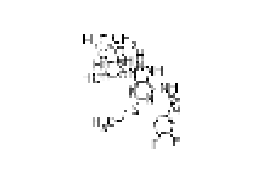 CCCSc1nc(N[C@@H]2C[C@H]2c2ccc(F)c(F)c2)c2c(n1)N([C@@H]1C[C@H](O)[C@H]3OC(C)(C)O[C@H]31)NN2